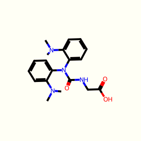 CN(C)c1ccccc1N(C(=O)NCC(=O)O)c1ccccc1N(C)C